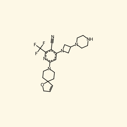 N#Cc1c(N2CC(N3CCNCC3)C2)cc(N2CCC3(C=CCO3)CC2)nc1C(F)(F)F